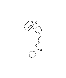 COc1ccc(CC=COC(=O)c2ccccc2)cc1C12CC3CC(CC(C3)C1)C2